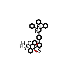 CC1(C)c2ccccc2C2(c3ccccc3Sc3ccc(-c4ccc(-c5cc(-c6ccccc6-c6ccccc6)nc(-c6ccccc6)n5)cc4)cc32)c2ccccc21